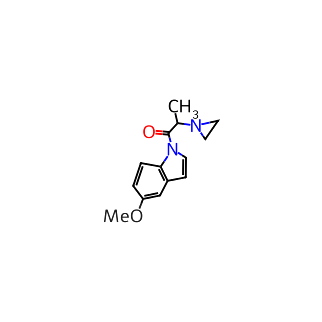 COc1ccc2c(ccn2C(=O)C(C)N2CC2)c1